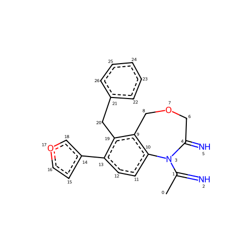 CC(=N)N1C(=N)COCc2c1ccc(-c1ccoc1)c2Cc1ccccc1